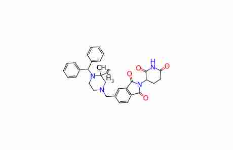 CC1(C)CN(Cc2ccc3c(c2)C(=O)N(C2CCC(=O)NC2=O)C3=O)CCN1C(c1ccccc1)c1ccccc1